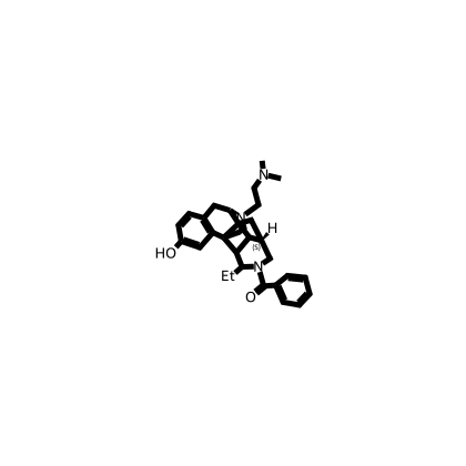 CCC1C2C3[C@@H](CN1C(=O)c1ccccc1)CC31C3Cc4ccc(O)cc4C21CCN3CCN(C)C